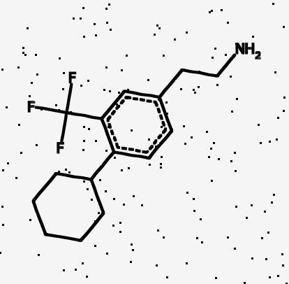 NCCc1ccc(C2CCCCC2)c(C(F)(F)F)c1